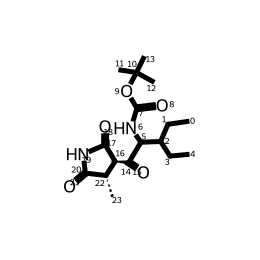 CCC(CC)C(NC(=O)OC(C)(C)C)C(=O)[C@@H]1C(=O)NC(=O)[C@H]1C